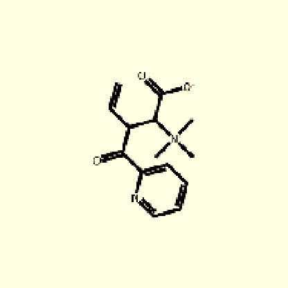 C=CC(C(=O)c1ccccn1)C(C(=O)[O-])[N+](C)(C)C